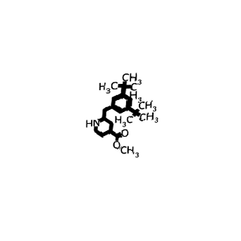 COC(=O)C1CCNC(Cc2cc(C(C)(C)C)cc(C(C)(C)C)c2)C1